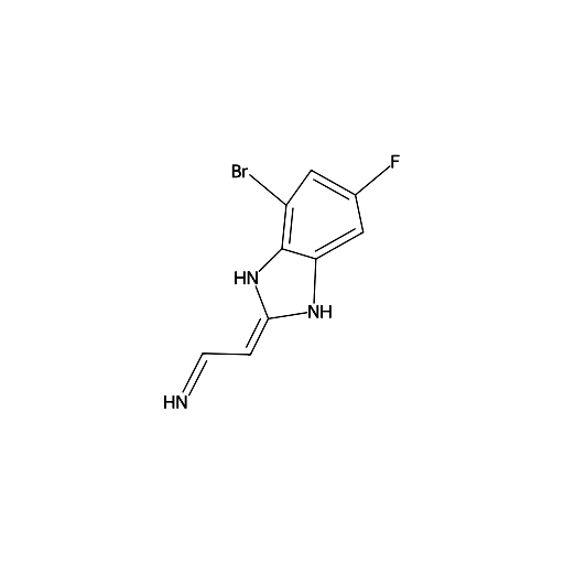 N=C/C=C1/Nc2cc(F)cc(Br)c2N1